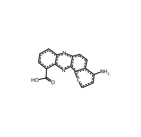 Nc1cccc2c1ccc1nc3cccc(C(=O)O)c3nc12